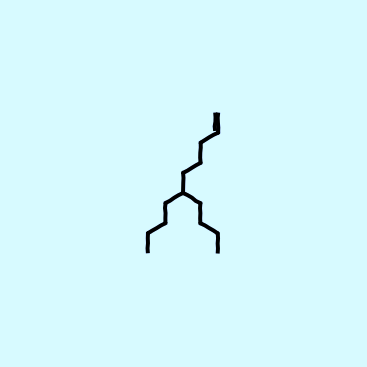 C=CCCCC(CCCC)CCCC